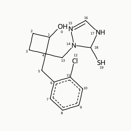 OC1CCC1(Cc1ccccc1Cl)CN1N=CNC1S